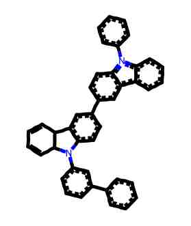 C1=CC2c3cc(-c4ccc5c(c4)c4ccccc4n5-c4ccccc4)ccc3N(c3cccc(-c4ccccc4)c3)C2C=C1